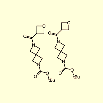 CC(C)(C)OC(=O)N1CC2(C1)CN(C(=O)C1COC1)C2.CC(C)(C)OC(=O)N1CC2(C1)CN(C(=O)C1COC1)C2